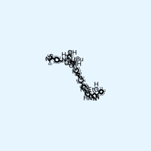 CC[C@H]1c2c([nH]c3nnc(-c4ccccc4O)cc23)CCN1c1ncc(C2CCN(C3CC4(CCN(C(=O)N[C@H](C(=O)N5C[C@H](O)C[C@H]5C(=O)NCc5ccc(-c6scnc6C)cc5)C(C)(C)C)CC4)C3)CC2)cn1